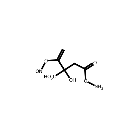 C=C(ON=O)C(O)(CC(=O)ON)C(=O)O